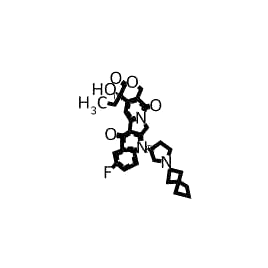 CC[C@@]1(O)C(=O)OCc2c1cc1n(c2=O)Cc2c-1c(=O)c1cc(F)ccc1n2[C@@H]1CCN(C2CC3(CCC3)C2)C1